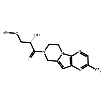 CCCOC[C@H](O)C(=O)N1CCn2c(cc3nc(C(F)(F)F)cnc32)C1